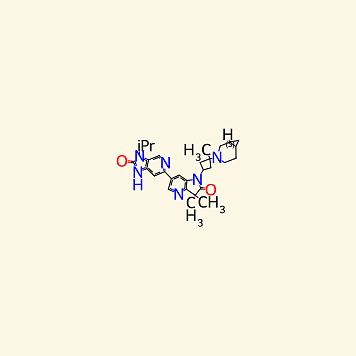 CC(C)n1c(=O)[nH]c2cc(-c3cnc4c(c3)N(C3CC(C)(N5CCC6C[C@@H]6C5)C3)C(=O)C4(C)C)ncc21